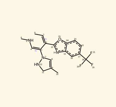 C/C=C(\C(=C/NC)N1C=C(C)CN1)c1nc2cc(C(F)(F)F)ccc2o1